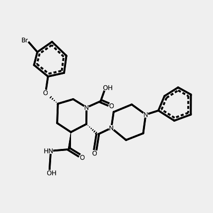 O=C(NO)[C@H]1C[C@H](Oc2cccc(Br)c2)CN(C(=O)O)[C@@H]1C(=O)N1CCN(c2ccccc2)CC1